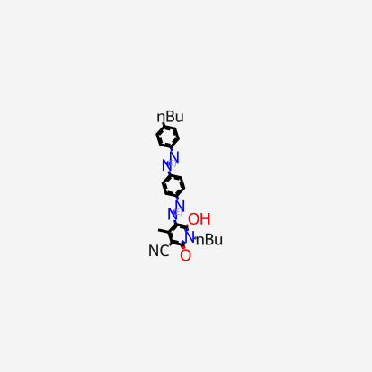 CCCCc1ccc(/N=N/c2ccc(/N=N/c3c(C)c(C#N)c(=O)n(CCCC)c3O)cc2)cc1